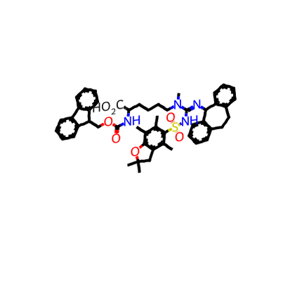 Cc1c(C)c(S(=O)(=O)NC(=NC2c3ccccc3CCc3ccccc32)N(C)CCCCC(NC(=O)OCC2c3ccccc3-c3ccccc32)C(=O)O)c(C)c2c1OC(C)(C)C2